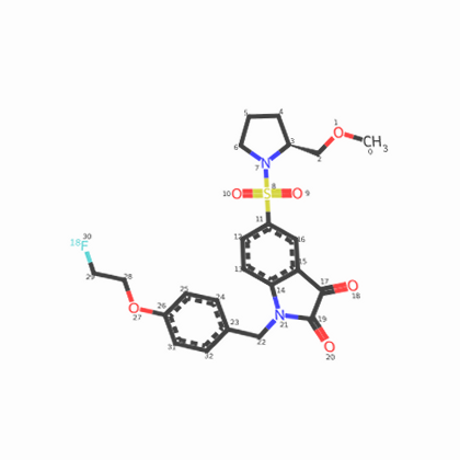 COC[C@@H]1CCCN1S(=O)(=O)c1ccc2c(c1)C(=O)C(=O)N2Cc1ccc(OCC[18F])cc1